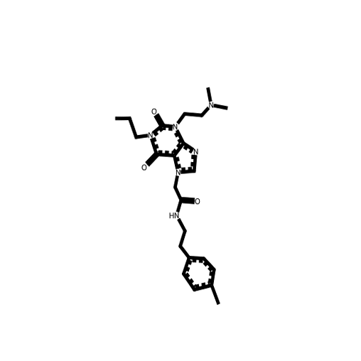 CCCn1c(=O)c2c(ncn2CC(=O)NCCc2ccc(C)cc2)n(CCN(C)C)c1=O